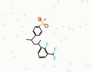 CC(CC(C)c1cccc(C(F)F)c1F)c1ccc(S(C)(=O)=O)cc1